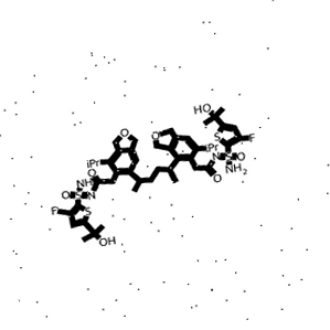 CC(C)c1cc2c(c(C(C)CCC(C)c3cc4c(c(C(C)C)c3CC(=O)N=S(N)(=O)c3sc(C(C)(C)O)cc3F)COC4)c1CC(=O)N=S(N)(=O)c1sc(C(C)(C)O)cc1F)COC2